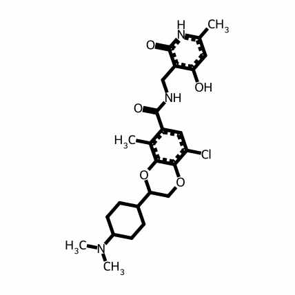 Cc1cc(O)c(CNC(=O)c2cc(Cl)c3c(c2C)OC(C2CCC(N(C)C)CC2)CO3)c(=O)[nH]1